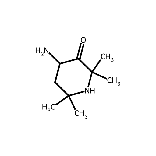 CC1(C)CC(N)C(=O)C(C)(C)N1